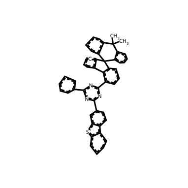 CC1(C)c2ccccc2C2(c3ccccc3-c3c(-c4nc(-c5ccccc5)nc(-c5ccc6c(c5)sc5ccccc56)n4)cccc32)c2ccccc21